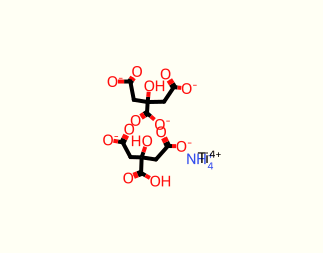 O=C([O-])CC(O)(CC(=O)[O-])C(=O)O.O=C([O-])CC(O)(CC(=O)[O-])C(=O)[O-].[NH4+].[Ti+4]